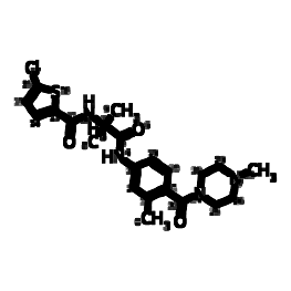 Cc1cc(NC(=O)C(C)(C)NC(=O)c2ccc(Cl)s2)ccc1C(=O)N1CCN(C)CC1